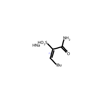 CCC(C)/C=C(\C(N)=O)S(=O)(=O)O.[NaH]